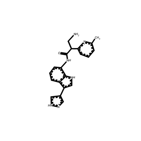 Cc1cccc(C(CN)C(=O)Nc2cccc3c(-c4cn[nH]c4)c[nH]c23)n1